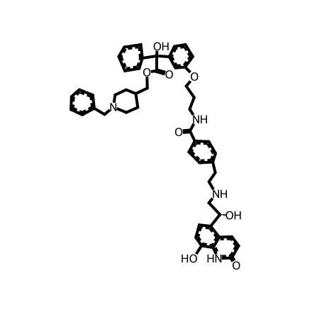 O=C(NCCCOc1cccc(C(O)(C(=O)OCC2CCN(Cc3ccccc3)CC2)c2ccccc2)c1)c1ccc(CCNC[C@H](O)c2ccc(O)c3[nH]c(=O)ccc23)cc1